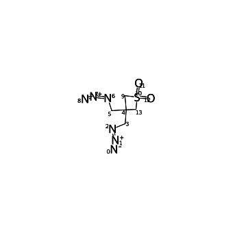 [N-]=[N+]=NCC1(CN=[N+]=[N-])CS(=O)(=O)C1